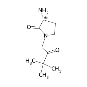 CC(C)(C)C(=O)CN1CC[C@@H](N)C1=O